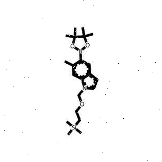 Cc1cc2c(ccn2COCC[Si](C)(C)C)cc1B1OC(C)(C)C(C)(C)O1